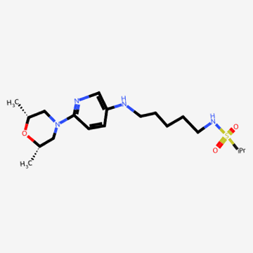 CC(C)S(=O)(=O)NCCCCCNc1ccc(N2C[C@@H](C)O[C@@H](C)C2)nc1